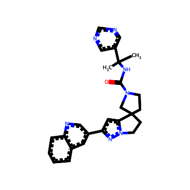 CC(C)(NC(=O)N1CCC2(CCn3nc(-c4cnc5ccccc5c4)cc32)C1)c1cncnc1